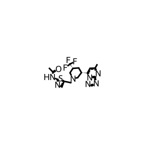 CC(=O)Nc1ncc(CN2C[C@@H](c3cc(C)nc4ncnn34)C[C@@H](C(F)(F)F)C2)s1